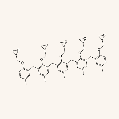 Cc1ccc(OCC2CO2)c(Cc2cc(C)cc(Cc3cc(C)cc(Cc4cc(C)cc(Cc5cc(C)ccc5OCC5CO5)c4OCC4CO4)c3OCC3CO3)c2OCC2CO2)c1